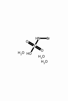 O.O.O.O=S(=O)(O)NBr